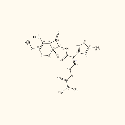 CN(C)C(=O)CO/N=C(\C(=O)NC1C(=O)N2C(C(=O)O)=C(CN)CS[C@@H]12)c1csc(N)n1